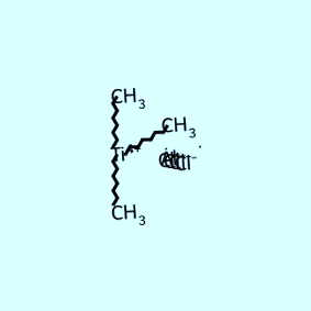 CCCCCCC[CH2][Ti+4]([CH2]CCCCCCC)[CH2]CCCCCCC.[Al].[Cl-].[Cl-].[Cl-].[Cl-]